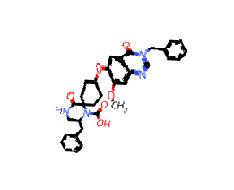 COc1cc2ncn(Cc3ccccc3)c(=O)c2cc1OC1CCC2(CC1)C(=O)NCC(Cc1ccccc1)N2C(=O)O